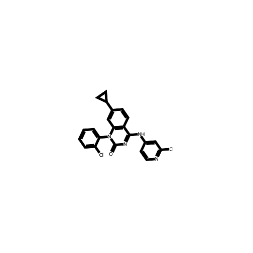 O=c1nc(Nc2ccnc(Cl)c2)c2ccc(C3CC3)cc2n1-c1ccccc1Cl